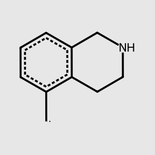 [CH2]c1cccc2c1CCNC2